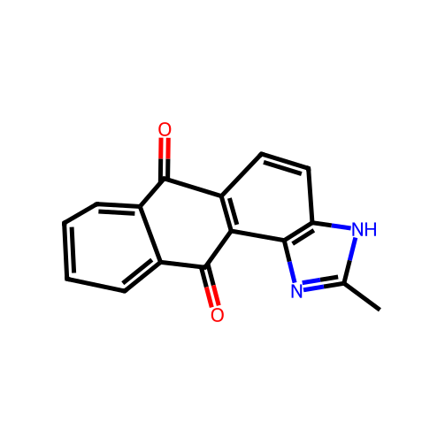 Cc1nc2c3c(ccc2[nH]1)C(=O)c1ccccc1C3=O